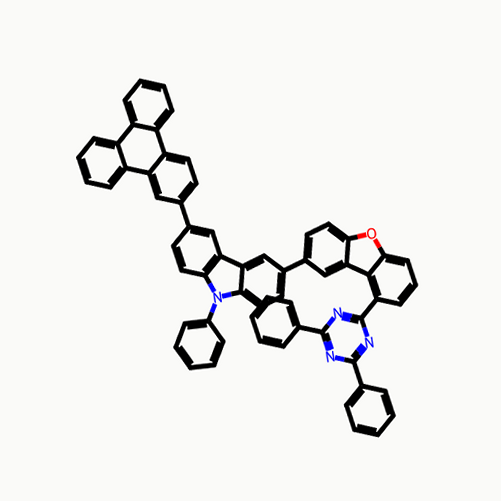 c1ccc(-c2nc(-c3ccccc3)nc(-c3cccc4oc5ccc(-c6ccc7c(c6)c6cc(-c8ccc9c%10ccccc%10c%10ccccc%10c9c8)ccc6n7-c6ccccc6)cc5c34)n2)cc1